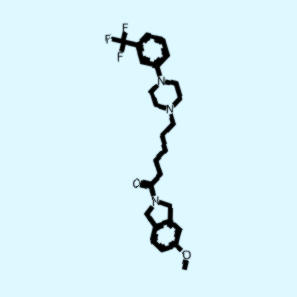 COc1ccc2c(c1)CN(C(=O)CCCCCN1CCN(c3cccc(C(F)(F)F)c3)CC1)C2